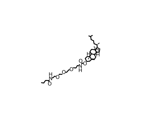 CCCC(=O)NCCOCCOCCOCCCNC(=O)OC1CC[C@@]2(C)C(=CC[C@H]3[C@@H]4CC[C@H]([C@H](C)CCCC(C)C)[C@@]4(C)CC[C@@H]32)C1